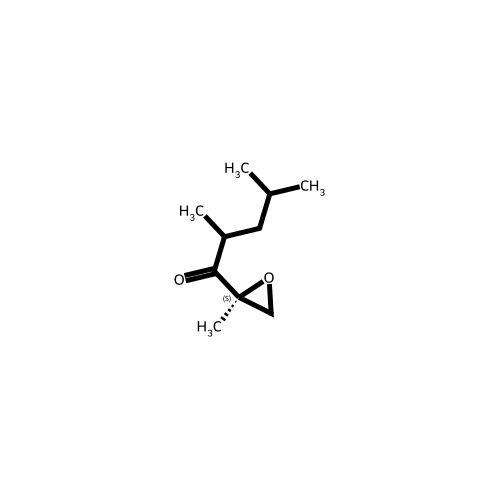 CC(C)CC(C)C(=O)[C@]1(C)CO1